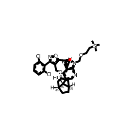 C[Si](C)(C)CCOCn1nnc2cc([C@@]3(O)[C@@H]4CC[C@H]3C[C@@H](OCc3c(-c5c(Cl)cccc5Cl)noc3C3CC3)C4)cnc21